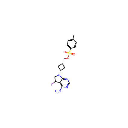 Cc1ccc(S(=O)(=O)OC[C@H]2C[C@@H](N3CC(I)c4c(N)ncnc43)C2)cc1